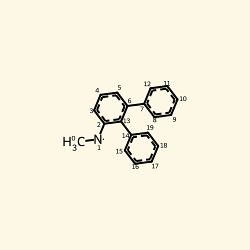 C[N]c1cccc(-c2ccccc2)c1-c1ccccc1